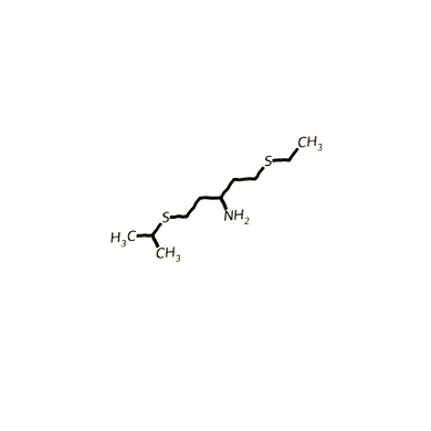 CCSCCC(N)CCSC(C)C